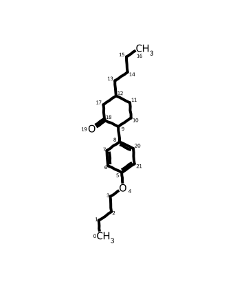 CCCCOc1ccc(C2CCC(CCCC)CC2=O)cc1